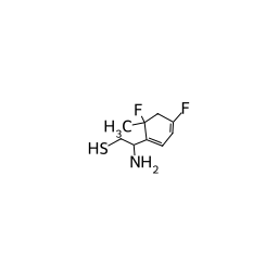 CC1(F)CC(F)=CC=C1C(N)CS